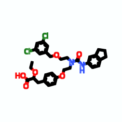 CCOC(Cc1ccc(OCCN(CCOCc2cc(Cl)cc(Cl)c2)C(=O)Nc2ccc3c(c2)CCC3)cc1)C(=O)O